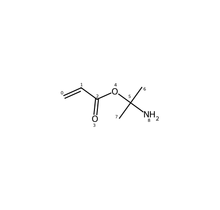 C=CC(=O)OC(C)(C)N